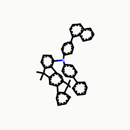 CC1(C)c2ccccc2-c2cc3c(cc21)-c1c(N(c2ccc(-c4ccccc4)cc2)c2ccc(-c4cccc5ccccc45)cc2)cccc1C3(C)C